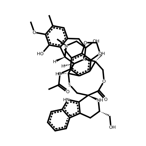 COc1c(C)cc2c(c1O)[C@H]1[C@@H]3[C@@H]4SC[C@]5(N[C@H](CO)Cc6c5[nH]c5ccccc65)C(=O)OC[C@@H](c5c6c(c(C)c(OC(C)=O)c54)OCO6)N3C(O)(C2)CN1C